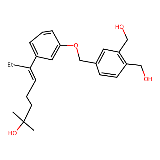 CCC(=CCCC(C)(C)O)c1cccc(OCc2ccc(CO)c(CO)c2)c1